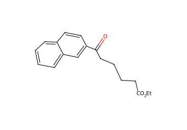 CCOC(=O)CCCCC(=O)c1ccc2ccccc2c1